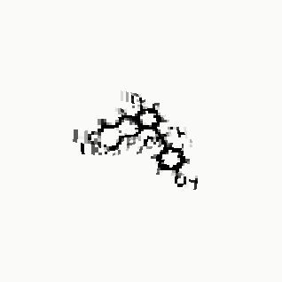 CC(C)(c1ccc(O)cc1)c1ccc(O)c(CCCO)c1CCCO